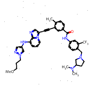 COCCCn1cc(Nc2cccn3c(C#Cc4cc(C(=O)Nc5ccc(CN6CCC(N(C)C)C6)c(C(F)(F)F)c5)ccc4C)cnc23)cn1